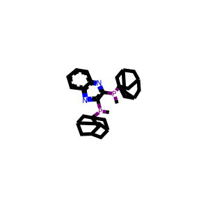 CP(c1nc2ccccc2nc1P(C)C12CC3CC(CC(C3)C1)C2)C12CC3CC(CC(C3)C1)C2